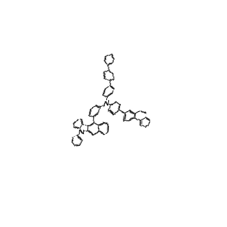 c1ccc(-c2ccc(-c3ccc(N(c4ccc(-c5ccc6c(ccc7ccccc76)c5)cc4)c4cccc(-c5c6ccccc6cc6c5c5ccccc5n6-c5ccccc5)c4)cc3)cc2)cc1